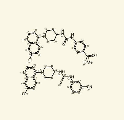 COC(=O)c1ccc(NC(=S)NC2CCN(c3ncnc4cc(Cl)ccc34)CC2)cc1.N#Cc1cccc(NC(=S)NC2CCN(c3ncnc4cc(Cl)ccc34)CC2)c1